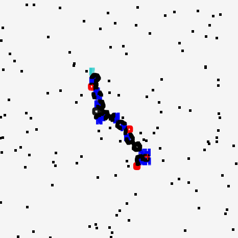 N#Cc1cnn2cc(-c3cnn(C4CCN(C(=O)CN5CCC(c6ccc(NC7CCC(=O)NC7=O)cc6)CC5)CC4)c3)cc(-c3ccc(N4CCN(C(=O)Cc5ccc(F)cn5)CC4)nc3)c12